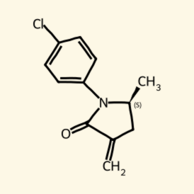 C=C1C[C@H](C)N(c2ccc(Cl)cc2)C1=O